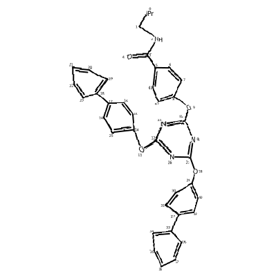 CC(C)CNC(=O)c1ccc(Oc2nc(Oc3ccc(-c4ccccc4)cc3)nc(Oc3ccc(-c4ccccc4)cc3)n2)cc1